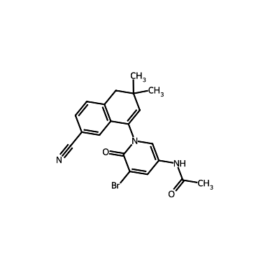 CC(=O)Nc1cc(Br)c(=O)n(C2=CC(C)(C)Cc3ccc(C#N)cc32)c1